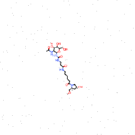 COC[C@@H]1C[C@@H](O)CN1C(=O)CCCCCNC(=O)CCNC(=O)NC1OC(CO)C(O)C(O)C1NC(C)=O